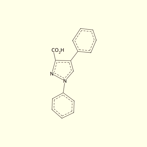 O=C(O)c1nn(-c2ccccc2)cc1-c1ccccc1